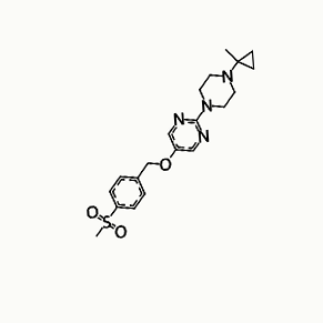 CC1(N2CCN(c3ncc(OCc4ccc(S(C)(=O)=O)cc4)cn3)CC2)CC1